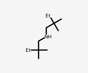 CCC(C)(C)CNCC(C)(C)CC